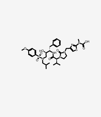 COc1ccc(S(=O)(=O)N(CC(C)C)C[C@@H](O)[C@H](Cc2ccccc2)NC(=O)[C@H](C(C)C)N2CCN(Cc3csc(N(C)C(=O)O)n3)C2=O)cc1